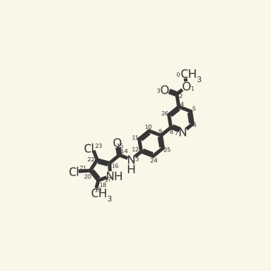 COC(=O)c1ccnc(-c2ccc(NC(=O)c3[nH]c(C)c(Cl)c3Cl)cc2)c1